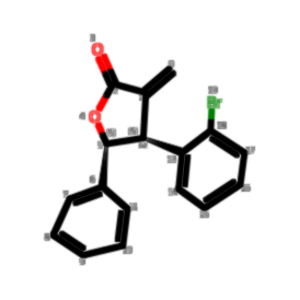 C=C1C(=O)O[C@H](c2ccccc2)[C@@H]1c1ccccc1Br